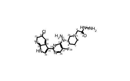 NNC(=O)CN1CCC[C@H](N(N)c2nc(-c3c[nH]c4c3=CC(Cl)CN=4)ncc2F)C1